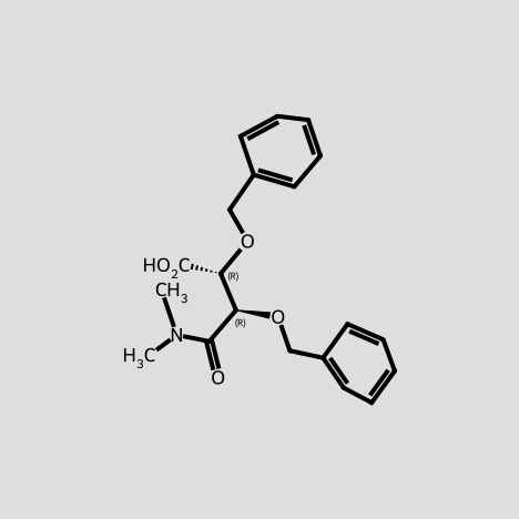 CN(C)C(=O)[C@H](OCc1ccccc1)[C@@H](OCc1ccccc1)C(=O)O